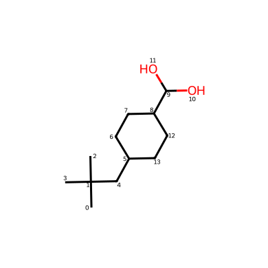 CC(C)(C)CC1CCC(C(O)O)CC1